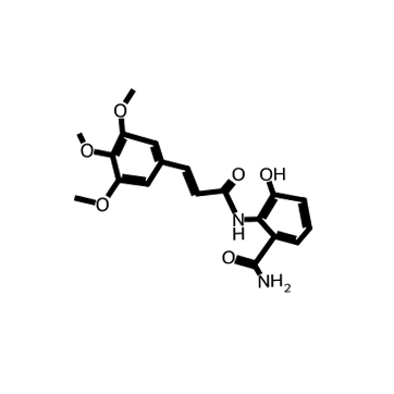 COc1cc(/C=C/C(=O)Nc2c(O)cccc2C(N)=O)cc(OC)c1OC